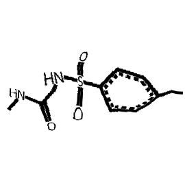 CNC(=O)NS(=O)(=O)c1ccc(C)cc1